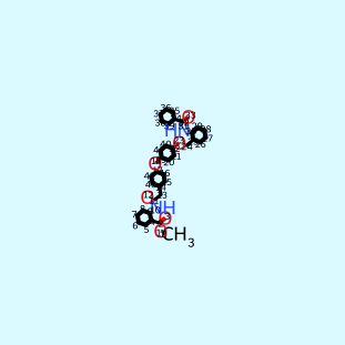 COC(=O)c1ccccc1NC(=O)Cc1ccc(Oc2ccc(OCc3ccccc3NC(=O)c3ccccc3)cc2)cc1